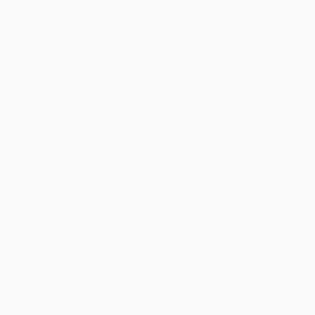 CCCC1CCC(C2CCC(C3Cc4ccc(C)c(F)c4O3)CC2)CC1